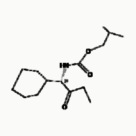 CCC(=O)[C@@H](NC(=O)OCC(C)C)C1CCCCC1